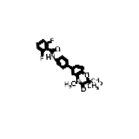 CN1C(=O)C(C)(C)Oc2ccc(-c3ccc(NC(=O)c4c(F)cccc4F)cc3)cc21